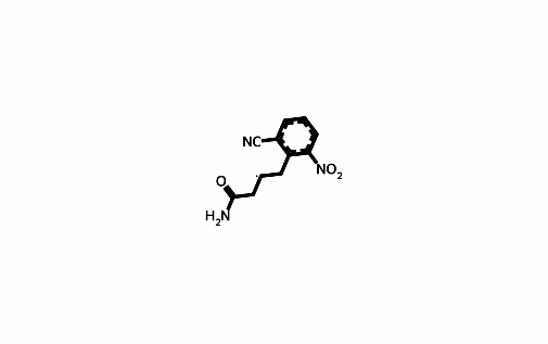 N#Cc1cccc([N+](=O)[O-])c1C[CH]CC(N)=O